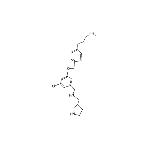 CCCCc1ccc(COc2cc(Cl)cc(CNCC3CCNC3)c2)cc1